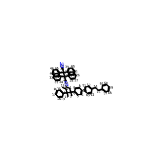 CCC(C)(c1ccccc1)C(C)(CC)c1ccccc1.N#CC(c1ccccc1)(c1ccccc1)C(C#N)(c1ccccc1)c1ccccc1.c1ccc(CCc2ccccc2)cc1